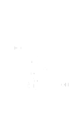 C=CC(=O)OCc1cc(CCC)ccc1COc1ccc(CO)cc1